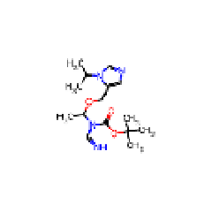 CC(OCc1cncn1C(C)C)N(C=N)C(=O)OC(C)(C)C